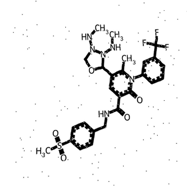 CNN1COC(c2cc(C(=O)NCc3ccc(S(C)(=O)=O)cc3)c(=O)n(-c3cccc(C(F)(F)F)c3)c2C)N1NC